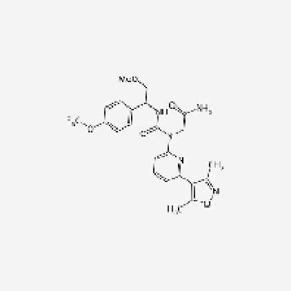 COCC(NC(=O)N(CC(N)=O)c1cccc(-c2c(C)noc2C)n1)c1ccc(OC(F)(F)F)cc1